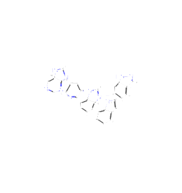 c1ccc2[nH]ccc2c1.c1ccc2[nH]cnc2c1.c1ccc2[nH]ncc2c1.c1ccncc1.c1ncc2[nH]cnc2n1